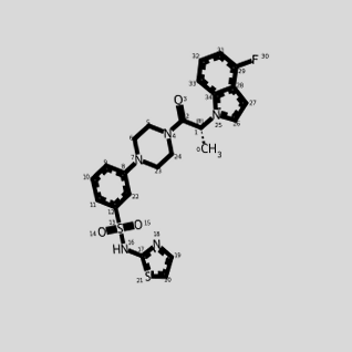 C[C@H](C(=O)N1CCN(c2cccc(S(=O)(=O)Nc3nccs3)c2)CC1)n1ccc2c(F)cccc21